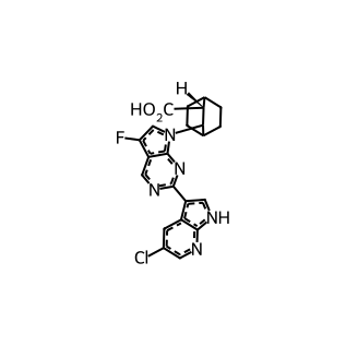 O=C(O)[C@@H]1C2CCC(CC2)C1n1cc(F)c2cnc(-c3c[nH]c4ncc(Cl)cc34)nc21